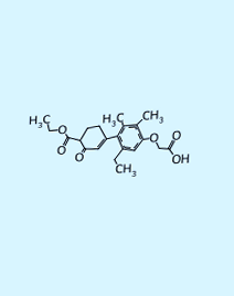 CCOC(=O)C1CCC(c2c(CC)cc(OCC(=O)O)c(C)c2C)=CC1=O